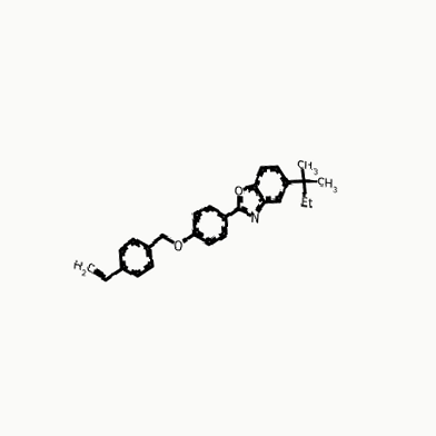 C=Cc1ccc(COc2ccc(-c3nc4cc(C(C)(C)CC)ccc4o3)cc2)cc1